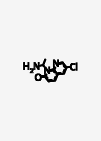 CC(N)n1c(=O)ccc2cc(Cl)cnc21